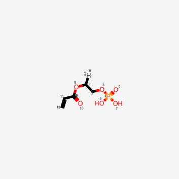 [2H]C(COP(=O)(O)O)OC(=O)C=C